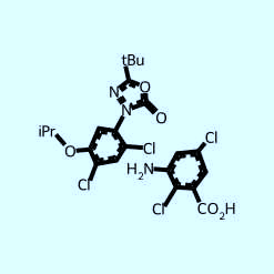 CC(C)Oc1cc(-n2nc(C(C)(C)C)oc2=O)c(Cl)cc1Cl.Nc1cc(Cl)cc(C(=O)O)c1Cl